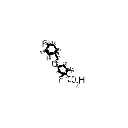 O=C(O)c1c(F)cc(OCc2ccc(F)cc2)cc1F